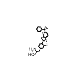 NC(CO)Cc1ccc(-c2nc3ccc(C4(c5ccccc5)CC4)nc3s2)c(F)c1